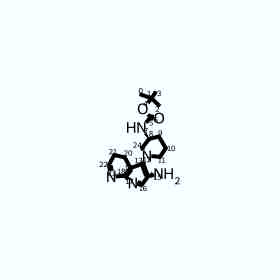 CC(C)(C)OC(=O)N[C@H]1CCCN(c2c(N)cnc3c2CCC=N3)C1